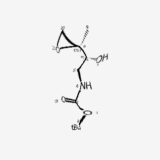 CC(C)(C)OC(=O)NC[C@@H](O)[C@]1(C)CO1